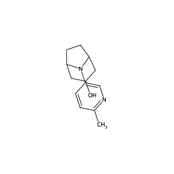 Cc1ccc(N2C3CCC2CC(O)C3)cn1